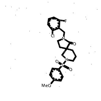 COc1ccc(S(=O)(=O)N2CCCC3(CCN(Cc4c(F)cccc4Cl)C3=O)C2)cc1